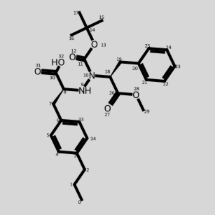 CCCc1ccc(C[C@H](NN(C(=O)OC(C)(C)C)[C@@H](Cc2ccccc2)C(=O)OC)C(=O)O)cc1